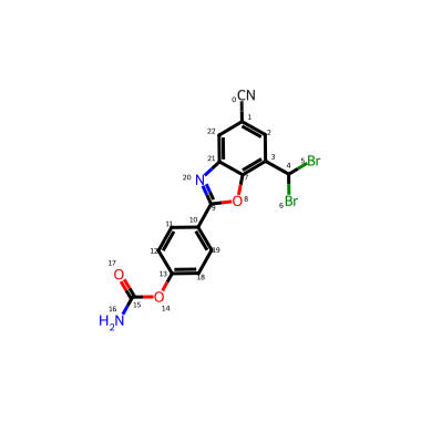 N#Cc1cc(C(Br)Br)c2oc(-c3ccc(OC(N)=O)cc3)nc2c1